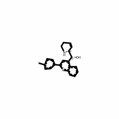 O[C@H](c1cc(-c2ccc(I)cc2)nc2ccccc12)[C@H]1C=CCCN1